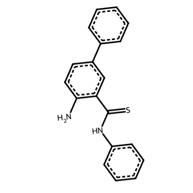 Nc1ccc(-c2ccccc2)cc1C(=S)Nc1ccccc1